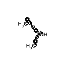 COc1ccc(COC[C@H]2CNCCN2c2ccc(COCCOCc3ccccc3OC)cc2)cc1